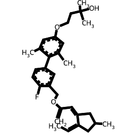 C=C(/C=C1/CC(C)C/C1=C/C)OCc1cc(-c2c(C)cc(OCCC(C)(C)O)cc2C)ccc1F